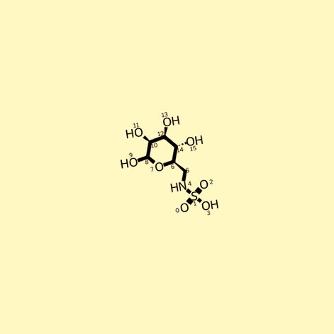 O=S(=O)(O)NC[C@H]1OC(O)[C@@H](O)[C@@H](O)[C@@H]1O